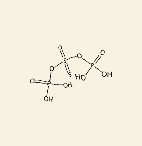 O=P(O)(O)OS(=O)(=S)OP(=O)(O)O